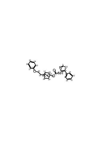 O=C(Nc1ncsc1-c1ccccc1)OC12CC[N+](CCOc3ccccc3)(CC1)CC2